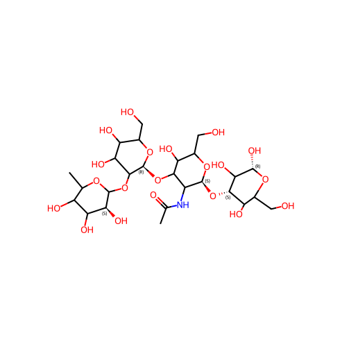 CC(=O)NC1C(O[C@@H]2OC(CO)C(O)C(O)C2OC2OC(C)C(O)C(O)[C@@H]2O)C(O)C(CO)O[C@H]1O[C@H]1C(O)C(CO)O[C@@H](O)C1O